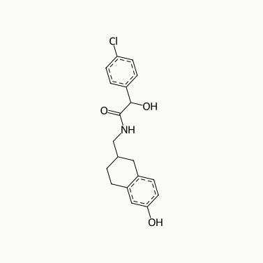 O=C(NCC1CCc2cc(O)ccc2C1)C(O)c1ccc(Cl)cc1